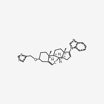 C[C@]12CCC(OCc3cncs3)CC1=CC[C@@H]1[C@@H]2CC[C@]2(C)C(n3cnc4ccccc43)=CC[C@@H]12